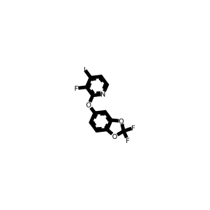 Fc1c(I)ccnc1Oc1ccc2c(c1)OC(F)(F)O2